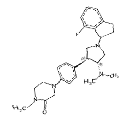 CN1CCN(c2ccc([C@H]3CN(C4CCc5cccc(F)c54)C[C@@H]3N(C)C)cc2)CC1=O